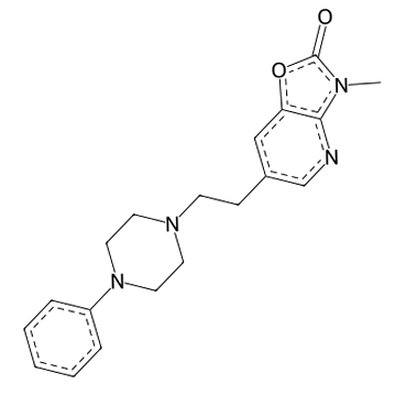 Cn1c(=O)oc2cc(CCN3CCN(c4ccccc4)CC3)cnc21